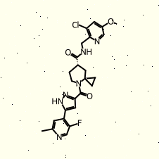 COc1cnc(CNC(=O)[C@H]2CCN(C(=O)c3cc(-c4cc(C)ncc4F)[nH]n3)C3(CC3)C2)c(Cl)c1